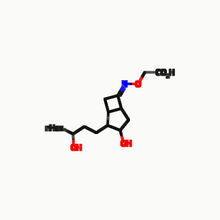 CCCCCCC(O)CCC1C(O)CC2C(=NOCC(=O)O)CC21